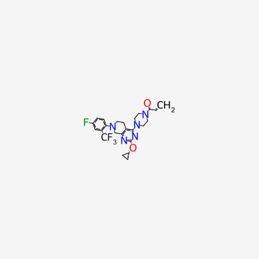 C=CC(=O)N1CCN(c2nc(OC3CC3)nc3c2CCN(c2ccc(F)cc2C(F)(F)F)C3)CC1